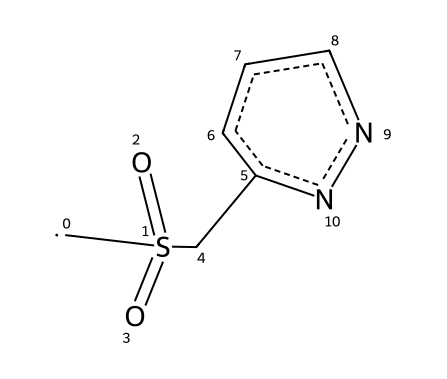 [CH2]S(=O)(=O)Cc1cccnn1